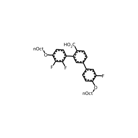 CCCCCCCCOc1ccc(-c2ccc(C(=O)O)c(-c3ccc(OCCCCCCCC)c(F)c3F)c2)cc1F